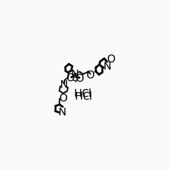 Cl.Cl.Cn1c(=O)ccc2cc(OCCCN(c3ccccc3CCN3CCC(OCc4cccnc4)CC3)S(C)(=O)=O)ccc21